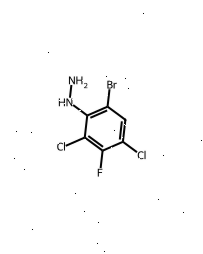 NNc1c(Br)cc(Cl)c(F)c1Cl